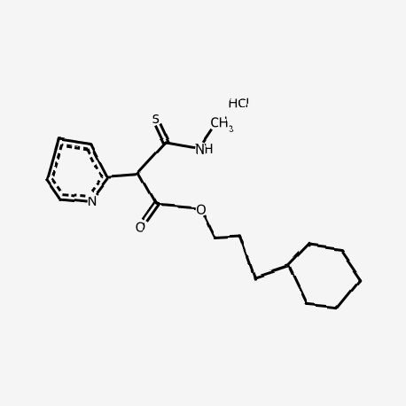 CNC(=S)C(C(=O)OCCCC1CCCCC1)c1ccccn1.Cl